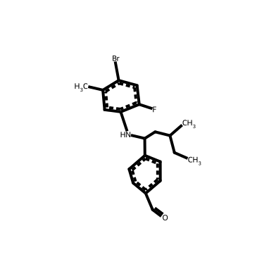 CCC(C)CC(Nc1cc(C)c(Br)cc1F)c1ccc(C=O)cc1